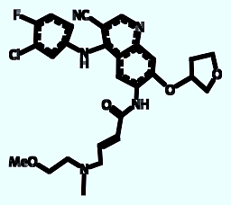 COCCN(C)C/C=C/C(=O)Nc1cc2c(Nc3ccc(F)c(Cl)c3)c(C#N)cnc2cc1OC1CCOC1